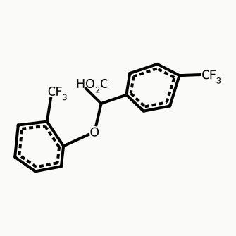 O=C(O)C(Oc1ccccc1C(F)(F)F)c1ccc(C(F)(F)F)cc1